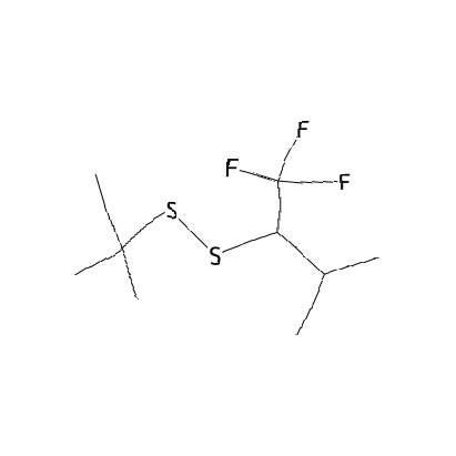 CC(C)C(SSC(C)(C)C)C(F)(F)F